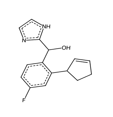 OC(c1ncc[nH]1)c1ccc(F)cc1C1C=CCC1